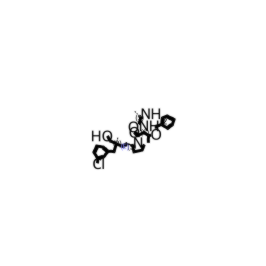 CC(OCc1ccccc1)[C@H](NC(=O)[C@H](C)N)C(=O)N1CCC[C@H]1/C=C/[C@](C)(CO)Cc1cccc(Cl)c1